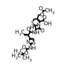 C/C=C(\C(=O)NC1C(=O)N2C(C(=O)O)=C(COC(C)=O)CS[C@H]12)c1csc(NC(=O)OC(C)(C)C)n1